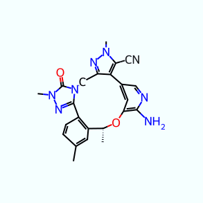 Cc1ccc2c(c1)[C@@H](C)Oc1cc(cnc1N)-c1c(nn(C)c1C#N)Cn1c-2nn(C)c1=O